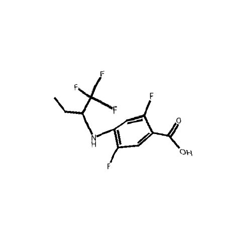 CCC(Nc1cc(F)c(C(=O)O)cc1F)C(F)(F)F